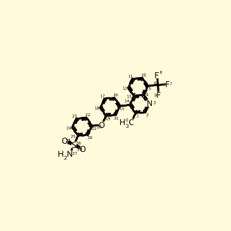 Cc1cnc2c(C(F)(F)F)cccc2c1-c1cccc(Oc2cccc(S(N)(=O)=O)c2)c1